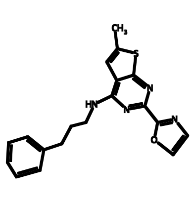 Cc1cc2c(NCCCc3ccccc3)nc(-c3ncco3)nc2s1